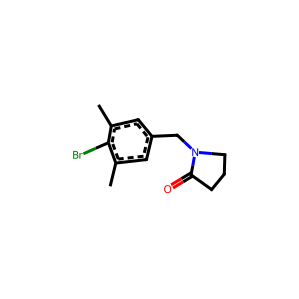 Cc1cc(CN2CCCC2=O)cc(C)c1Br